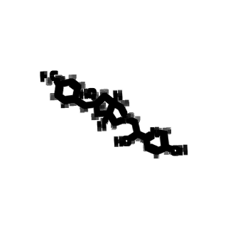 Oc1ccc(C(O)CN2C[C@@H]3C[C@@](O)(Cc4ccc(C(F)(F)F)cc4)C[C@@H]3C2)nc1